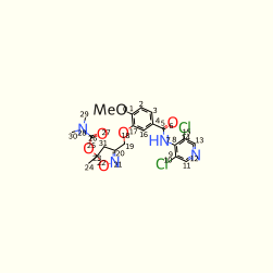 COc1ccc(C(=O)Nc2c(Cl)cncc2Cl)cc1OCC1=NOC(C)(OC(=O)N(C)C)C1